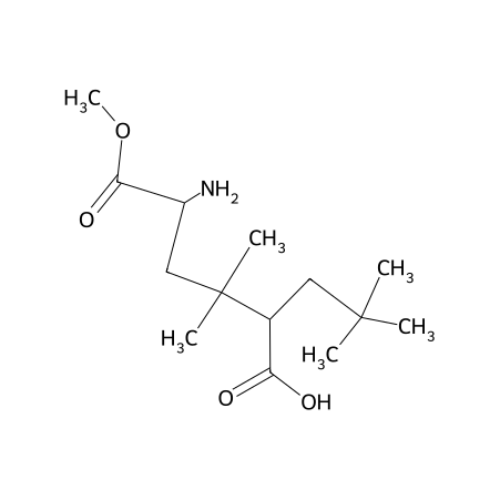 COC(=O)C(N)CC(C)(C)C(CC(C)(C)C)C(=O)O